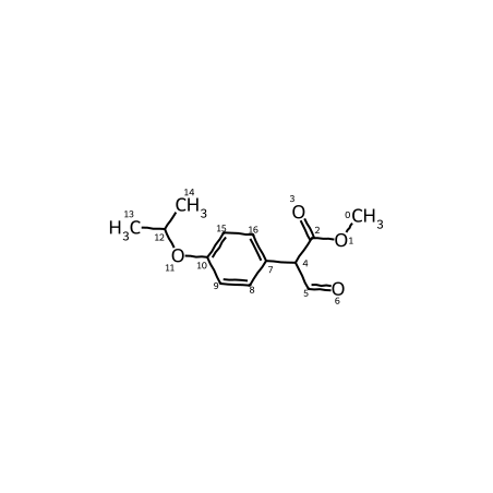 COC(=O)C(C=O)c1ccc(OC(C)C)cc1